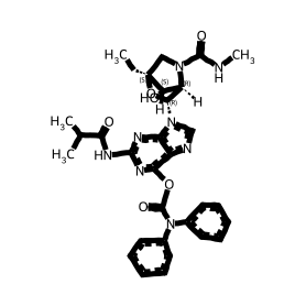 CC[C@@]12CN(C(=O)NC)[C@@H]([C@H](n3cnc4c(OC(=O)N(c5ccccc5)c5ccccc5)nc(NC(=O)C(C)C)nc43)O1)[C@@H]2O